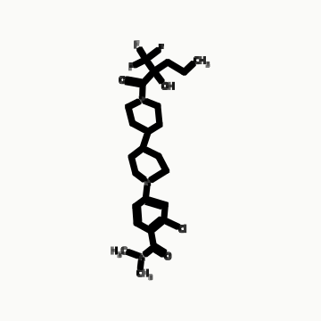 CCCC(O)(C(=O)N1CCC(C2CCN(c3ccc(C(=O)N(C)C)c(Cl)c3)CC2)CC1)C(F)(F)F